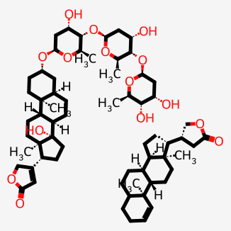 C[C@H]1O[C@@H](O[C@H]2[C@@H](O)C[C@H](O[C@H]3[C@@H](O)C[C@H](O[C@H]4CC[C@@]5(C)[C@H](CC[C@@H]6[C@@H]5CC[C@]5(C)[C@@H](C7=CC(=O)OC7)CC[C@]65O)C4)O[C@@H]3C)O[C@@H]2C)C[C@H](O)[C@@H]1O.C[C@]12CC[C@H]3[C@@H](CCC4CCC=C[C@@]43C)[C@H]1CC[C@@H]2[C@@H]1COC(=O)C1